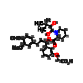 CCC(C)(C)C(=O)C(=O)N1CCCC[C@H]1C(=O)O[C@H](CCc1ccc(C=O)c(OC)c1)c1cccc(OCC(=O)O)c1